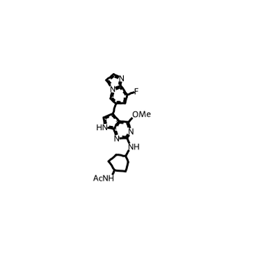 COc1nc(NC2CCC(NC(C)=O)CC2)nc2[nH]cc(-c3cc(F)c4nccn4c3)c12